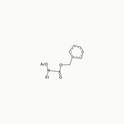 CCN(OC(C)=O)C(=O)OCc1ccccc1